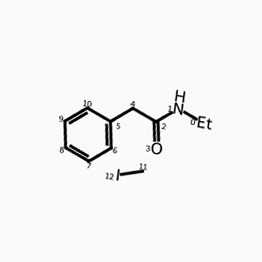 CCNC(=O)Cc1ccccc1.CI